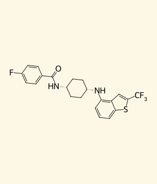 O=C(N[C@H]1CC[C@@H](Nc2cccc3sc(C(F)(F)F)cc23)CC1)c1ccc(F)cc1